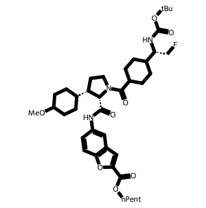 CCCCCOC(=O)c1cc2cc(NC(=O)[C@@H]3[C@H](C4CCC(OC)CC4)CCN3C(=O)C3CCC([C@@H](CF)NC(=O)OC(C)(C)C)CC3)ccc2o1